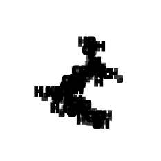 CN1C=C2N=C(CCC(=O)NO)C=C(SCC3=C(C(=O)O)N4C(=O)[C@@H](NC(=O)C(=NOC(C)(C)C(=O)NNC(=O)c5ccc(O)c(O)c5)c5csc(N)n5)[C@H]4SC3)N2N1